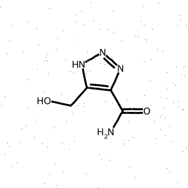 NC(=O)c1nn[nH]c1CO